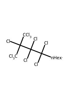 CCCCC[CH]C(Cl)(Cl)C(Cl)(Cl)C(Cl)(C(Cl)(Cl)Cl)C(Cl)(Cl)Cl